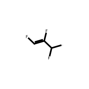 [CH2]C(F)/C(F)=[C]/F